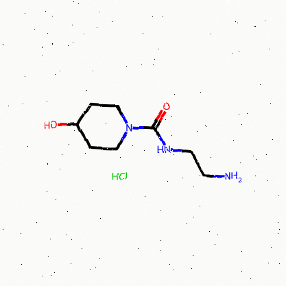 Cl.NCCNC(=O)N1CCC(O)CC1